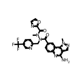 CN(C(=O)c1ncco1)N(Cc1ccc(C(F)(F)F)cn1)C(=O)c1ccc2nc(N)c3cnn(C)c3c2c1